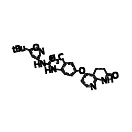 CC(C)(C)c1cc(NC(=O)Nc2ccc(Oc3ccnc4c3CCC(=O)N4)cc2C(F)(F)F)no1